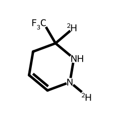 [2H]N1C=CCC([2H])(C(F)(F)F)N1